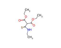 CCNC(=S)C(C(=O)OCC)C(=O)OCC